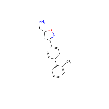 NCC1CC(c2ccc(-c3ccccc3C(F)(F)F)cc2)=NO1